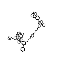 CC(C)(C)OC(=O)N(COCC[Si](C)(C)C)S(=O)(=O)c1cc(CCCCOCCCCCCN2C[C@@H](c3ccc4c(c3)COC(C)(C)O4)OC2=O)cc(-c2ccccc2)c1